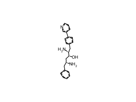 N[C@@H](Cc1ccccc1)C[C@H](O)[C@@H](N)Cc1ccc(-c2cccnc2)cc1